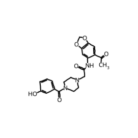 CC(=O)c1cc2c(cc1NC(=O)CN1CCN(C(=O)c3cccc(O)c3)CC1)OCO2